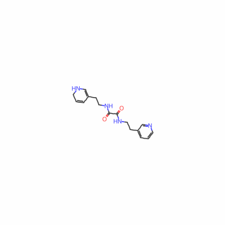 O=C(NCCC1=CNCC=C1)C(=O)NCCc1cccnc1